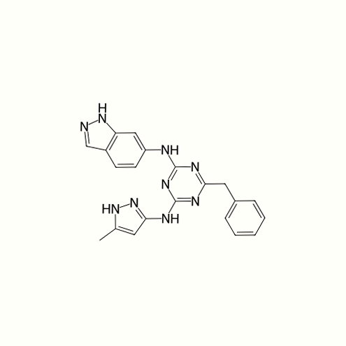 Cc1cc(Nc2nc(Cc3ccccc3)nc(Nc3ccc4cn[nH]c4c3)n2)n[nH]1